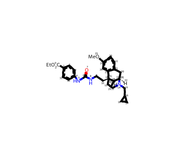 CCOC(=O)c1ccc(NC(=O)NCC[C@@]23CCN(CC4CC4)[C@H](Cc4ccc(OC)cc42)[C@@H]3C)cc1